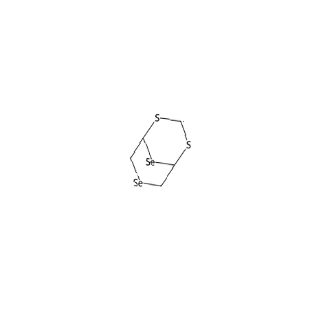 [CH]1SC2C[Se]CC(S1)[Se]2